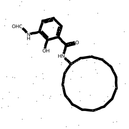 O=CNc1cccc(C(=O)NC2CCCCCCCCCCCCCC2)c1O